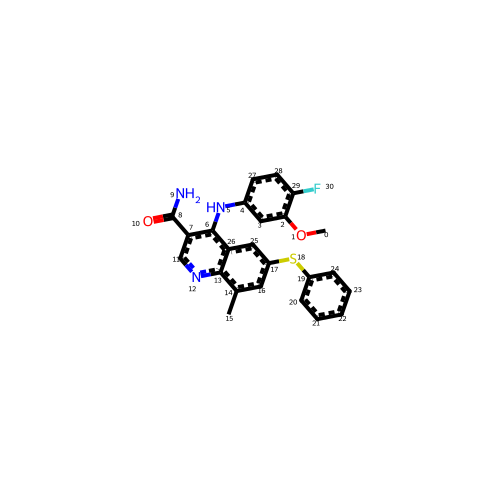 COc1cc(Nc2c(C(N)=O)cnc3c(C)cc(Sc4ccccc4)cc23)ccc1F